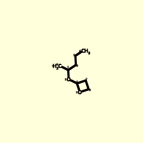 [CH2]C(CCC)OC1CCO1